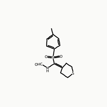 Cc1ccc(S(=O)(=O)C(NC=O)=C2CCSCC2)cc1